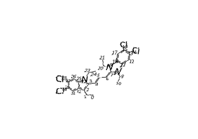 CCc1c(C=CC=C2N(CC)c3cc(Cl)c(Cl)cc3N2CC)n(CC)c2cc(Cl)c(Cl)cc12